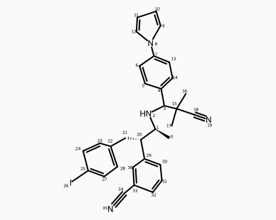 C[C@H](NC(c1ccc(-n2cccc2)cc1)C(C)(C)C#N)[C@@H](Cc1ccc(I)cc1)c1cccc(C#N)c1